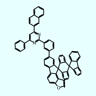 c1ccc(-c2cc(-c3ccc4ccccc4c3)nc(-c3cccc(-c4ccc5c(c4)C4(c6ccccc6C6(c7ccccc7-c7ccccc76)c6ccccc64)c4c-5ccc5oc6ccccc6c45)c3)n2)cc1